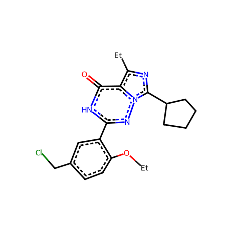 CCOc1ccc(CCl)cc1-c1nn2c(C3CCCC3)nc(CC)c2c(=O)[nH]1